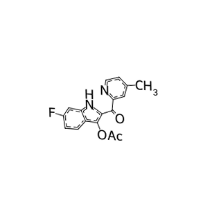 CC(=O)Oc1c(C(=O)c2cc(C)ccn2)[nH]c2cc(F)ccc12